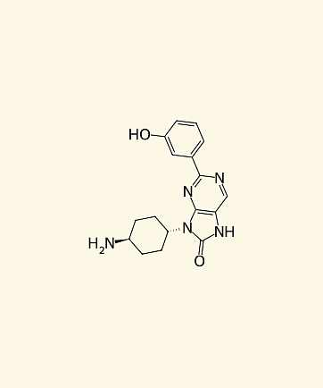 N[C@H]1CC[C@H](n2c(=O)[nH]c3cnc(-c4cccc(O)c4)nc32)CC1